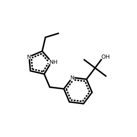 CCc1ncc(Cc2cccc(C(C)(C)O)n2)[nH]1